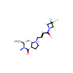 CC(C)[C@@H](C(=O)O)N(C)C(=O)[C@H]1CCN(C/C=C/C(=O)N2CC(F)(F)C2)C1